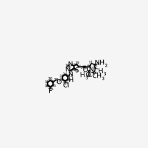 CC(C)(C)[N+]1(C(=O)[O-])C[C@@H](N)C[C@@H]1C#Cc1cc2ncnc(Nc3ccc(OCc4cccc(F)c4)c(Cl)c3)c2s1